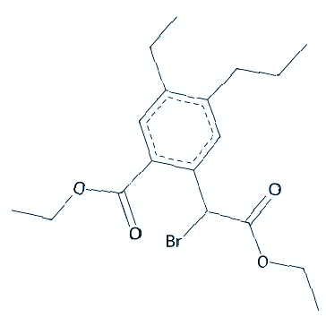 CCCc1cc(C(Br)C(=O)OCC)c(C(=O)OCC)cc1CC